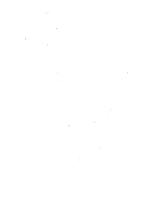 CCC1(OC(=O)COC(=O)C2C3CC4C(OC(=O)C42)C3OC(=O)C(F)(F)S(=O)(=O)O)CCCC1